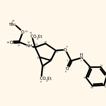 CCOC(=O)C1C2C(OC(=O)Nc3ccccc3)CC(NC(=O)OC(C)(C)C)(C(=O)OCC)C12